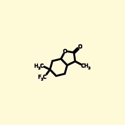 CC1C(=O)OC2CC(C)(C(F)(F)F)CCC21